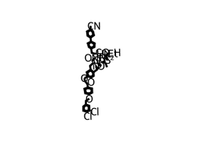 CCNc1nc(S(=O)(=O)N2Cc3cc4c(cc3C[C@H]2C(=O)N[C@@H](Cc2ccc(-c3ccc(C#N)cc3)cc2)C(=O)O)OCC(c2ccc(OCc3ccc(Cl)c(Cl)c3)cc2)O4)c(C)s1